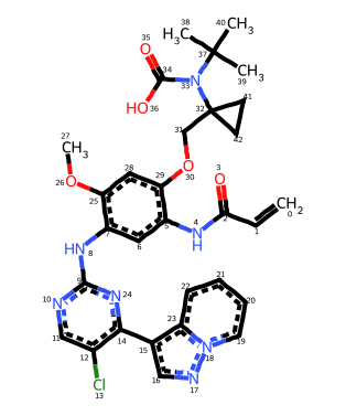 C=CC(=O)Nc1cc(Nc2ncc(Cl)c(-c3cnn4ccccc34)n2)c(OC)cc1OCC1(N(C(=O)O)C(C)(C)C)CC1